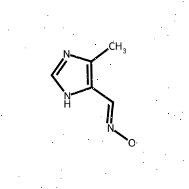 Cc1nc[nH]c1C=N[O]